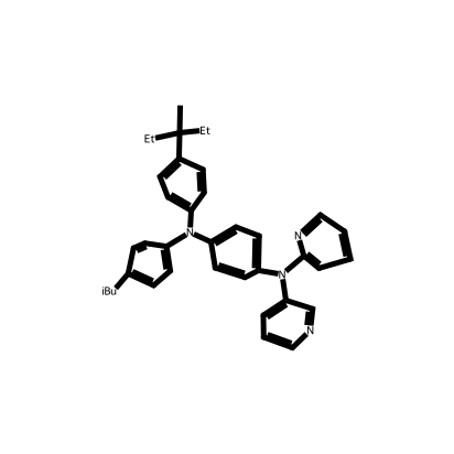 CCC(C)c1ccc(N(c2ccc(N(c3cccnc3)c3ccccn3)cc2)c2ccc(C(C)(CC)CC)cc2)cc1